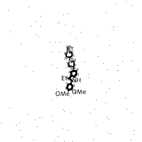 CCc1c(-c2ccc(OC)c(OC)c2)[nH]c2ccc(N3CCN(C4CCN(C(C)C)CC4)CC3)cc12